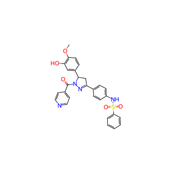 COc1ccc(C2CC(c3ccc(NS(=O)(=O)c4ccccc4)cc3)=NN2C(=O)c2ccncc2)cc1O